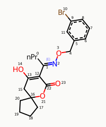 CCC/C(=N\OCc1cccc(Br)c1)C1=C(O)CC2(CCCC2)OC1=O